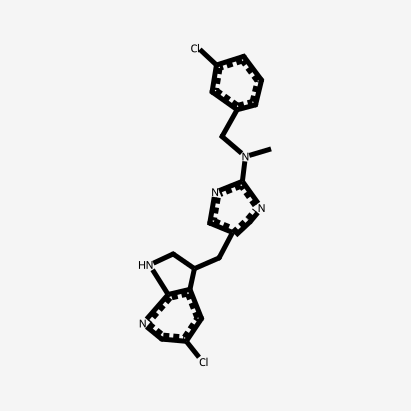 CN(Cc1cccc(Cl)c1)c1ncc(CC2CNc3ncc(Cl)cc32)cn1